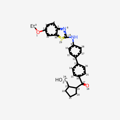 CCOc1ccc2nc(Nc3ccc(-c4ccc(C(=O)C5CCCC5C(=O)O)cc4)cc3)sc2c1